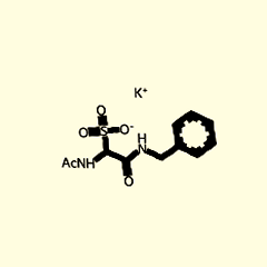 CC(=O)NC(C(=O)NCc1ccccc1)S(=O)(=O)[O-].[K+]